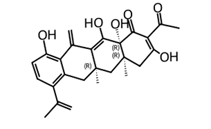 C=C(C)c1ccc(O)c2c1C[C@]1(C)C[C@]3(C)CC(O)=C(C(C)=O)C(=O)[C@]3(O)C(O)=C1C2=C